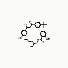 CCCCC(CC)COC(=O)c1ccccc1O.COc1ccc(C(=O)CC(=O)c2ccc(C(C)(C)C)cc2)cc1